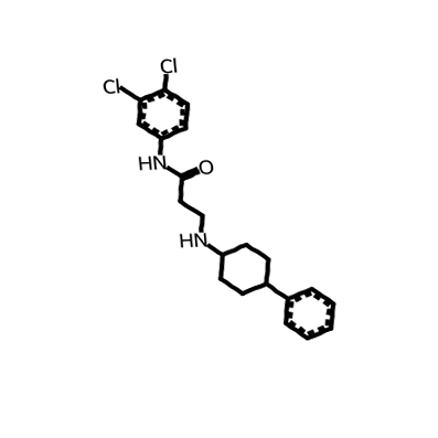 O=C(CCNC1CCC(c2ccccc2)CC1)Nc1ccc(Cl)c(Cl)c1